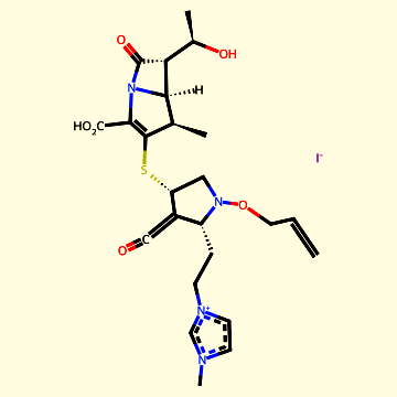 C=CCON1C[C@@H](SC2=C(C(=O)O)N3C(=O)[C@H]([C@@H](C)O)[C@H]3[C@H]2C)C(=C=O)[C@H]1CC[n+]1ccn(C)c1.[I-]